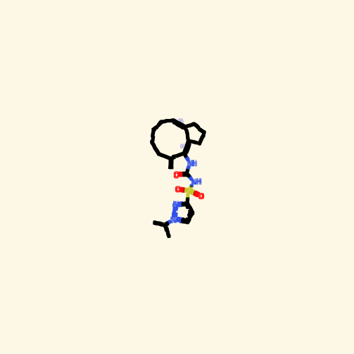 C=C1CCCC/C=C2/CCC/C2=C/1NC(=O)NS(=O)(=O)c1ccn(C(C)C)n1